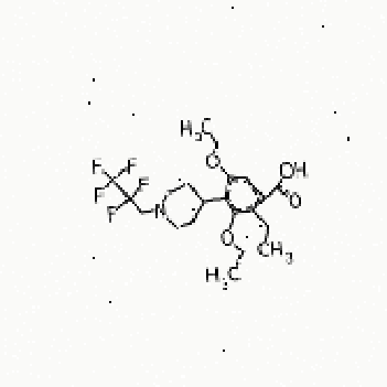 CCOc1cc(C(=O)O)c(CC)c(OCC)c1C1CCN(CC(F)(F)C(F)(F)F)CC1